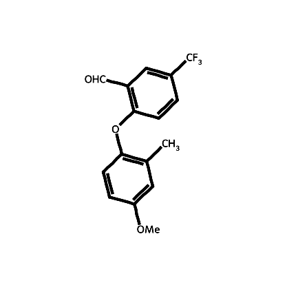 COc1ccc(Oc2ccc(C(F)(F)F)cc2C=O)c(C)c1